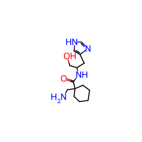 NCC1(C(=O)NC(CO)Cc2c[nH]cn2)CCCCC1